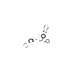 CN1CCN(S(=O)(=O)c2ccc([C@@H](CC3CCCC3)C(=O)Nc3nc4ccc(N5CCOCC5)nc4s3)cc2)CC1